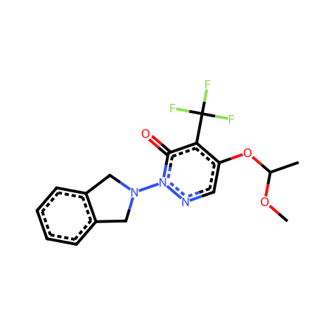 COC(C)Oc1cnn(N2Cc3ccccc3C2)c(=O)c1C(F)(F)F